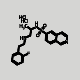 CC(CNCCc1ccccc1F)NS(=O)(=O)c1ccc2cnccc2c1.Cl.Cl